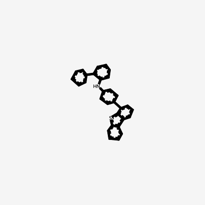 c1ccc(-c2ccccc2Nc2ccc(-c3cccc4c3sc3ccccc34)cc2)cc1